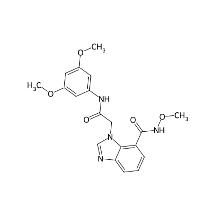 CONC(=O)c1cccc2ncn(CC(=O)Nc3cc(OC)cc(OC)c3)c12